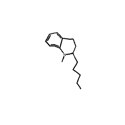 CCCCCC1CCc2ccccc2N1C